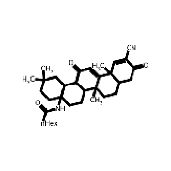 CCCCCCC(=O)NC12CCC3C(C(=O)C=C4C5(C)C=C(C#N)C(=O)CC5CCC43C)C1CC(C)(C)CC2